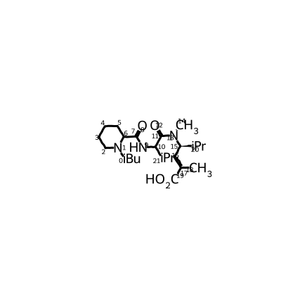 CCC(C)N1CCCCC1C(=O)NC(C(=O)N(C)[C@H](/C=C(\C)C(=O)O)C(C)C)C(C)C